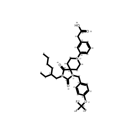 CCCCC(CC)CN1C(=O)N(Cc2ccc(OC(F)(F)F)cc2)C2(CCN(c3cccc(CC(=O)O)c3)CC2)C1=O